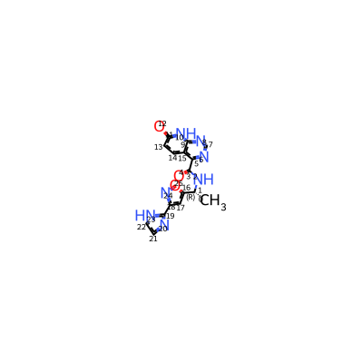 C[C@@H](NC(=O)c1ncnc2[nH]c(=O)ccc12)c1cc(-c2ncc[nH]2)no1